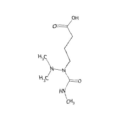 CNC(=O)N(CCCC(=O)O)N(C)C